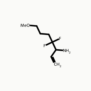 C=CC(N)C(F)(F)CCCOC